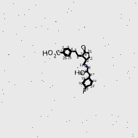 O=C(O)c1ccc(CCC2C(=O)CCC2/C=C/C(O)Cc2ccc(F)cc2)cc1